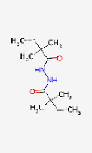 CCC(C)(C)C(=O)NNC(=O)C(C)(C)CC